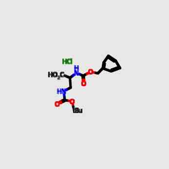 CC(C)(C)OC(=O)NCC(NC(=O)OCc1ccccc1)C(=O)O.Cl